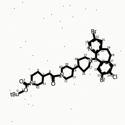 CC(C)(C)OC(=O)N1CCC(CC(=O)N2CCC(C3CCN(C4c5cc(Br)c(Cl)cc5CCc5cc(Br)cnc54)CC3)CC2)CC1